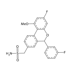 COc1cc(F)cc2c1-c1ccc(CS(N)(=O)=O)cc1C(c1cccc(F)c1)O2